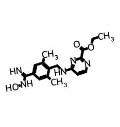 CCOC(=O)c1nccc(NCc2c(C)cc(C(=N)NO)cc2C)n1